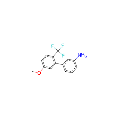 COc1ccc(C(F)(F)F)c(-c2cccc(N)c2)c1